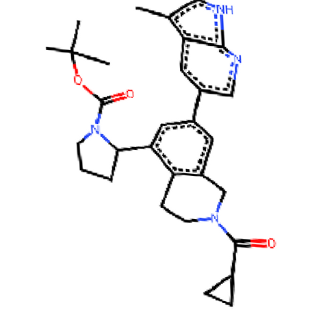 Cc1c[nH]c2ncc(-c3cc4c(c(C5CCCN5C(=O)OC(C)(C)C)c3)CCN(C(=O)C3CC3)C4)cc12